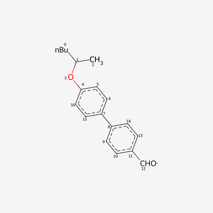 CCCCC(C)Oc1ccc(-c2ccc([C]=O)cc2)cc1